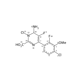 COc1c(Cl)ccc(C2=C(F)C(N)N(Cl)C(C(=O)O)=N2)c1F